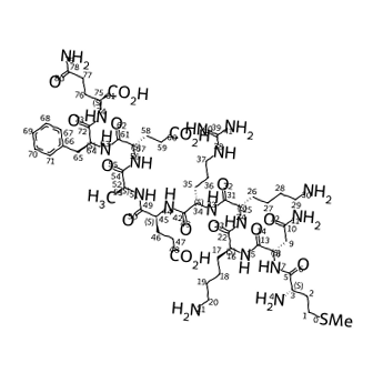 CSCC[C@H](N)C(=O)N[C@@H](CC(N)=O)C(=O)N[C@@H](CCCCN)C(=O)N[C@@H](CCCCN)C(=O)N[C@@H](CCCNC(=N)N)C(=O)N[C@@H](CCC(=O)O)C(=O)N[C@@H](C)C(=O)N[C@@H](CCC(=O)O)C(=O)N[C@@H](Cc1ccccc1)C(=O)N[C@@H](CCC(N)=O)C(=O)O